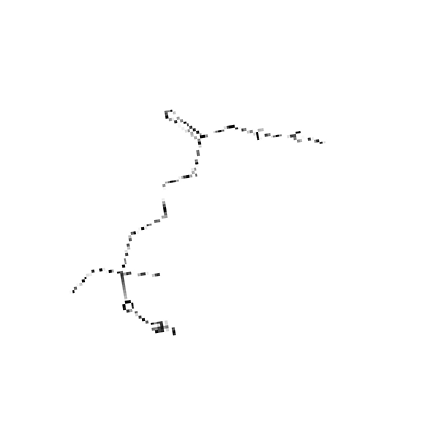 CCCCCC(=O)SCCCC(C)(CC)O[SiH3]